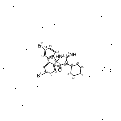 N=C1NC(c2ccc(Br)cc2)(c2ccc(Br)cc2)C(=O)N1C1CCCCC1